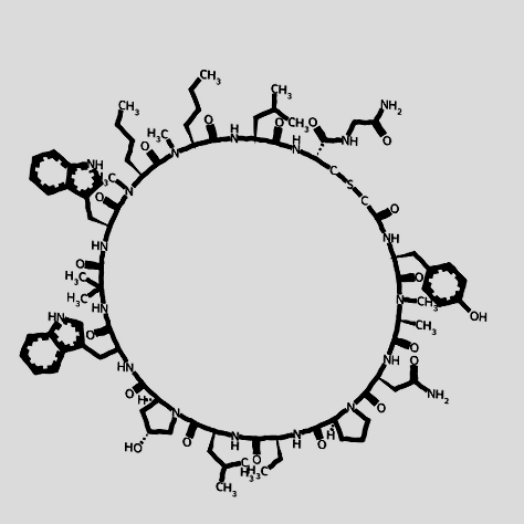 CCCC[C@H]1C(=O)N(C)[C@@H](CCCC)C(=O)N[C@@H](CC(C)C)C(=O)N[C@H](C(=O)NCC(N)=O)CSCC(=O)N[C@@H](Cc2ccc(O)cc2)C(=O)N(C)[C@@H](C)C(=O)N[C@@H](CC(N)=O)C(=O)N2CCC[C@H]2C(=O)N[C@@H](CC)C(=O)N[C@@H](CC(C)C)C(=O)N2C[C@H](O)C[C@H]2C(=O)NC(Cc2c[nH]c3ccccc23)C(=O)NC(C)(C)C(=O)N[C@@H](Cc2c[nH]c3ccccc23)C(=O)N1C